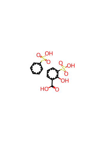 O=C(O)c1cccc(S(=O)(=O)O)c1O.O=S(=O)(O)c1ccccc1